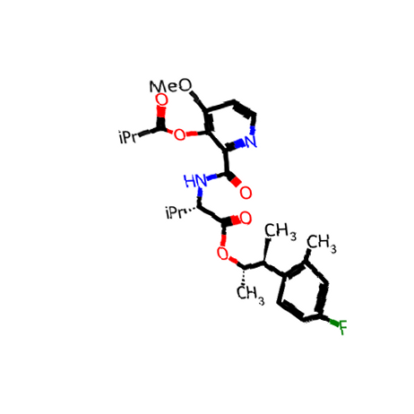 COc1ccnc(C(=O)N[C@H](C(=O)O[C@@H](C)[C@@H](C)c2ccc(F)cc2C)C(C)C)c1OC(=O)C(C)C